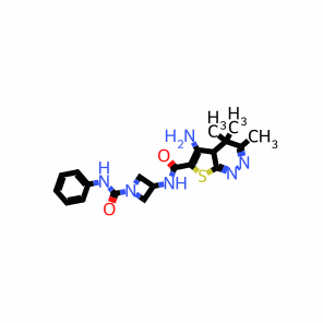 CC1=NN=C2SC(C(=O)NC3CN(C(=O)Nc4ccccc4)C3)=C(N)C2C1(C)C